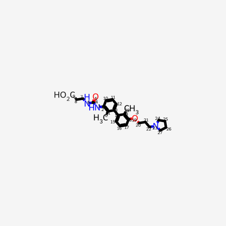 Cc1c(NC(=O)NCCC(=O)O)cccc1-c1cccc(OCCCN2CCCC2)c1C